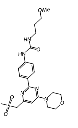 COCCCNC(=O)Nc1ccc(-c2nc(CS(C)(=O)=O)cc(N3CCOCC3)n2)cc1